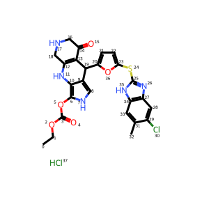 CCOC(=O)Oc1[nH]cc2c1NC1=C(C(=O)CNC1)C2c1ccc(Sc2nc3cc(Cl)c(C)cc3[nH]2)o1.Cl